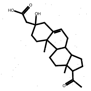 CC(=O)C1CCC2C3CC=C4CC(O)(CC(=O)O)CCC4(C)C3CCC12C